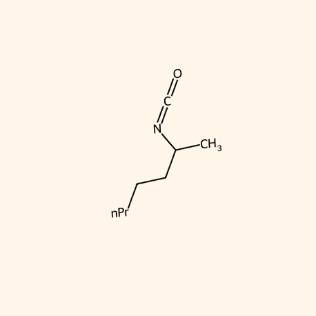 CCCCCC(C)N=C=O